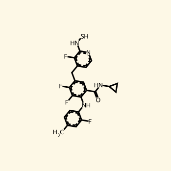 Cc1ccc(Nc2c(C(=O)NC3CC3)cc(Cc3ccnc(NS)c3F)c(F)c2F)c(F)c1